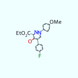 CCOC(=O)c1nn(-c2ccc(OC)cc2)cc(-c2ccc(F)cc2)c1=O